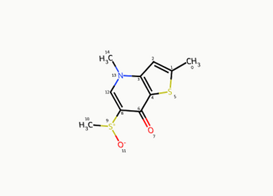 Cc1cc2c(s1)c(=O)c([S+](C)[O-])cn2C